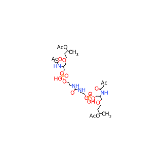 CC(=O)CC(=O)NC(COCCC(C)OC(C)=O)COP(=O)(O)OCCNC(=O)NCCOP(=O)(O)OCC(COCCC(C)OC(C)=O)NC(=O)CC(C)=O